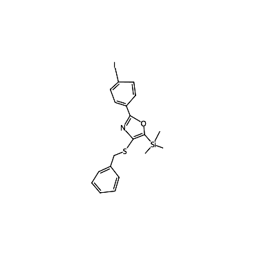 C[Si](C)(C)c1oc(-c2ccc(I)cc2)nc1SCc1ccccc1